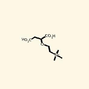 C[N+](C)(C)CCOC(CC(=O)O)C(=O)O